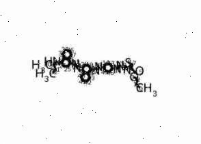 CCCOC(=O)c1csc(/N=N/c2ccc(/N=N/c3ccc(/N=N/c4ccc(NC(C)CC)c5ccccc45)c4ccccc34)cc2)n1